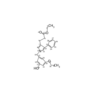 CCOC(=O)CCc1cn(Cc2cc(O)cc(OCC)c2)cc1-c1ccccc1